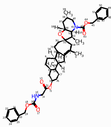 CC1=C2C[C@H]3[C@@H](CCC4C[C@H](OC(=O)CNC(=O)OCc5ccccc5)CC[C@@]43C)[C@@H]2CC[C@@]2(C1)O[C@@H]1C[C@H](C)CN(C(=O)OCc3ccccc3)[C@H]1[C@H]2C